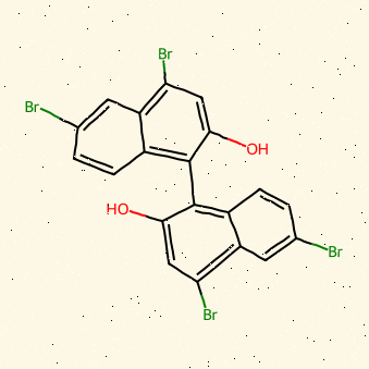 Oc1cc(Br)c2cc(Br)ccc2c1-c1c(O)cc(Br)c2cc(Br)ccc12